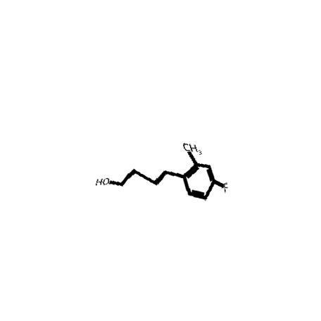 Cc1cc(F)ccc1CCCCO